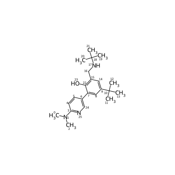 CN(C)c1ccc(-c2cc(C(C)(C)C)cc(CNC(C)(C)C)c2O)cn1